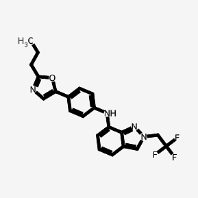 CCCc1ncc(-c2ccc(Nc3cccc4cn(CC(F)(F)F)nc34)cc2)o1